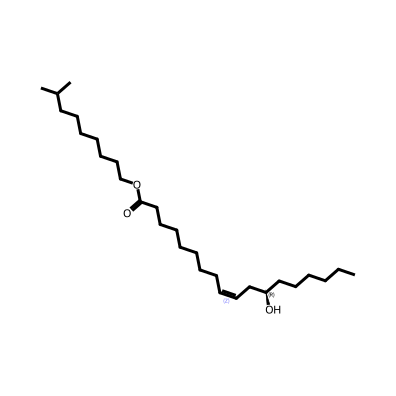 CCCCCC[C@@H](O)C/C=C\CCCCCCCC(=O)OCCCCCCCC(C)C